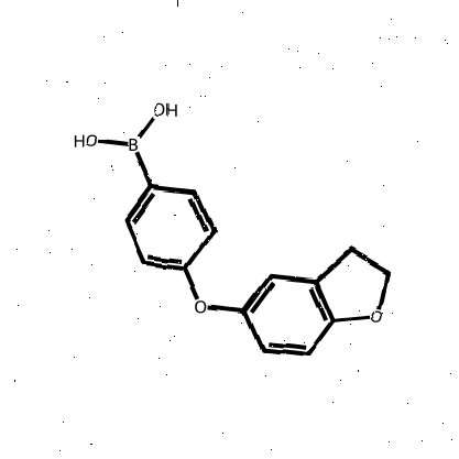 OB(O)c1ccc(Oc2ccc3c(c2)CCO3)cc1